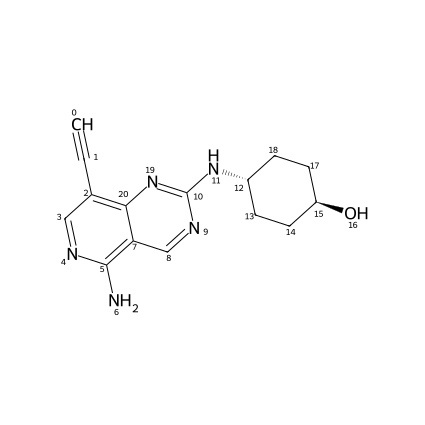 C#Cc1cnc(N)c2cnc(N[C@H]3CC[C@H](O)CC3)nc12